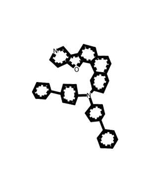 c1ccc(-c2ccc(N(c3ccc(-c4ccccc4)cc3)c3ccc4ccc5ccc6c7cnccc7oc6c5c4c3)cc2)cc1